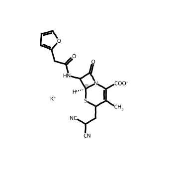 CC1=C(C(=O)[O-])N2C(=O)C(NC(=O)Cc3ccco3)[C@@H]2SC1CC(C#N)C#N.[K+]